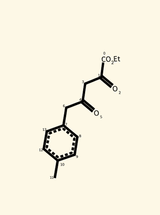 CCOC(=O)C(=O)CC(=O)Cc1ccc(C)cc1